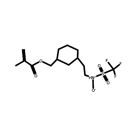 C=C(C)C(=O)OCC1CCCC(CC[NH+]([O-])S(=O)(=O)C(F)(F)F)C1